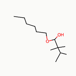 CCCCCCOC(O)C(C)(C)C(C)C